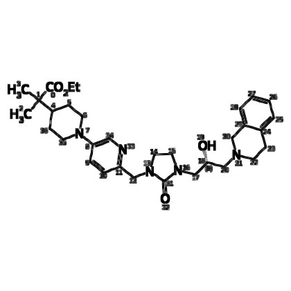 CCOC(=O)C(C)(C)C1CCN(c2ccc(CN3CCN(C[C@H](O)CN4CCc5ccccc5C4)C3=O)nc2)CC1